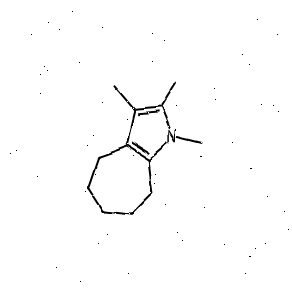 Cc1c2c(n(C)c1C)CCCCC2